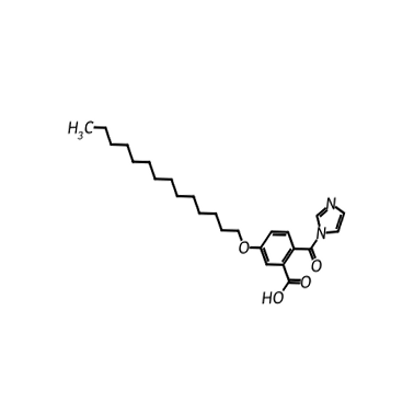 CCCCCCCCCCCCCCOc1ccc(C(=O)n2ccnc2)c(C(=O)O)c1